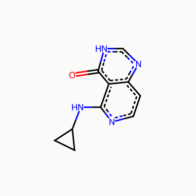 O=c1[nH]cnc2ccnc(NC3CC3)c12